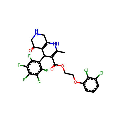 CC1=C(C(=O)OCCOc2cccc(Cl)c2Cl)C(c2c(F)c(F)c(F)c(F)c2F)C2=C(CNCC2=O)N1